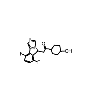 O=C(CC1c2c(F)ccc(F)c2-c2cncn21)C1CCC(O)CC1